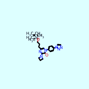 CC(C)(C)[Si](C)(C)OCCCc1cn(-c2ccc(-n3ccnn3)cc2)c(=O)c(N2CCC2)n1